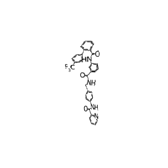 O=C(NCc1ccc(NC(=O)c2ccccn2)cc1)c1cccc(NC(=O)c2ccccc2-c2ccc(C(F)(F)F)cc2)c1